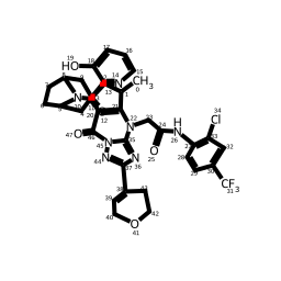 CC1CC2(CC3CCC(C2)N3C(=O)c2ncccc2O)c2c1n(CC(=O)Nc1ccc(C(F)(F)F)cc1Cl)c1nc(C3=CCOCC3)nn1c2=O